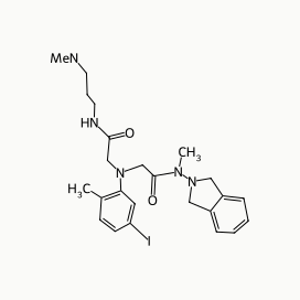 CNCCCNC(=O)CN(CC(=O)N(C)N1Cc2ccccc2C1)c1cc(I)ccc1C